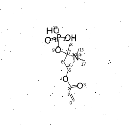 C=CC(=O)OCCC(C)(OP(=O)(O)O)[N+](C)(C)C